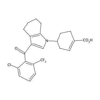 O=C(O)C1=CCC(n2cc(C(=O)c3c(Cl)cccc3C(F)(F)F)c3c2CCCC3)CC1